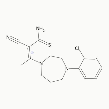 C/C(=C(\C#N)C(N)=S)N1CCCN(c2ccccc2Cl)CC1